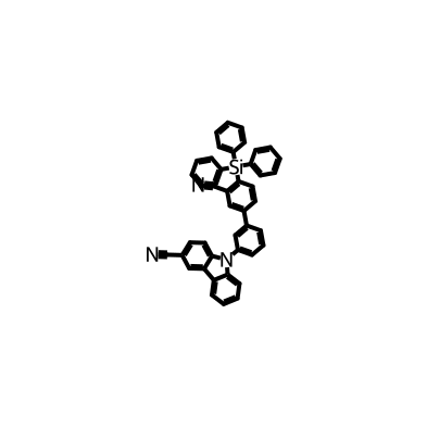 N#Cc1ccc2c(c1)c1ccccc1n2-c1cccc(-c2ccc([Si](c3ccccc3)(c3ccccc3)c3ccccc3)c(C#N)c2)c1